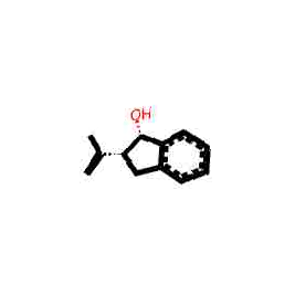 C=C(C)[C@H]1Cc2ccccc2[C@H]1O